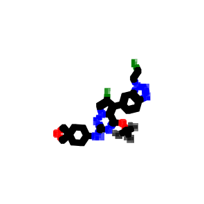 [2H]C([2H])([2H])Oc1nc(NC2CCC3(CC2)COC3)nn2cc(F)c(-c3ccc4nnn(CCF)c4c3)c12